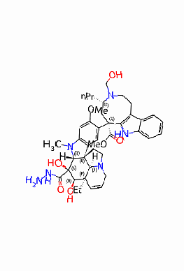 CCC[C@H]1C[C@](C(=O)OC)(c2cc3c(cc2OC)N(C)[C@H]2[C@@](O)(C(=O)NN)[C@H](O)[C@]4(CC)C=CCN5CC[C@]32[C@@H]54)c2[nH]c3ccccc3c2CCN1CO